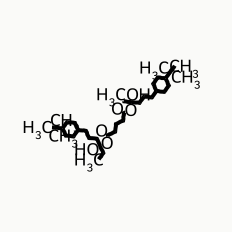 CCC(O)(CCCC1CCC(C(C)(C)C)CC1)OC(=O)CCCC(=O)OC(O)(CC)CCCC1CCC(C(C)(C)C)CC1